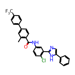 Cc1cc(-c2ccc(C(F)(F)F)cc2)ccc1C(=O)Nc1ccc(Cl)c(-c2ncc(-c3ccccc3)[nH]2)c1